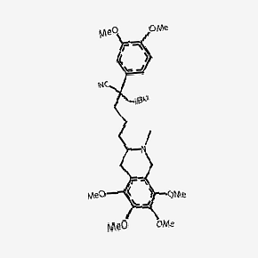 CCC(C)C(C#N)(CCCC1Cc2c(c(OC)c(OC)c(OC)c2OC)CN1C)c1ccc(OC)c(OC)c1